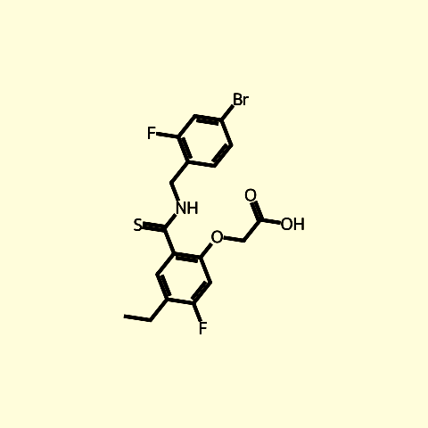 CCc1cc(C(=S)NCc2ccc(Br)cc2F)c(OCC(=O)O)cc1F